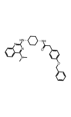 CN(C)c1nc(N[C@H]2CC[C@@H](NC(=O)Cc3ccc(OCc4ccccc4)cc3)CC2)nc2ccccc12